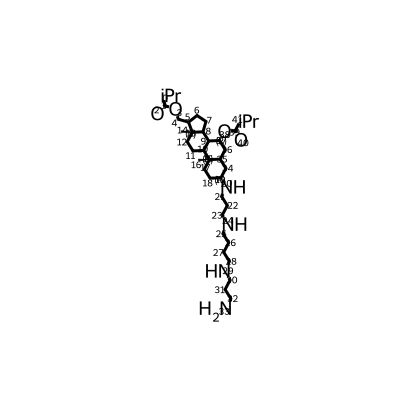 CC(C)C(=O)OCC1CCC2C3C(CC[C@]12C)[C@@]1(C)CC[C@@H](NCCCNCCCCNCCCN)CC1C[C@H]3OC(=O)C(C)C